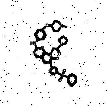 CN1CCC(Oc2ccc(Nc3ncc4cc(-c5cc(S(=O)(=O)c6ccccc6)cs5)c(=O)n(CC(=O)N5CCCC5)c4n3)cc2)CC1